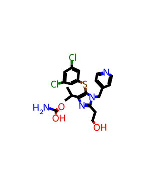 CC(C)c1nc(CCO)n(Cc2ccncc2)c1Sc1cc(Cl)cc(Cl)c1.NC(=O)O